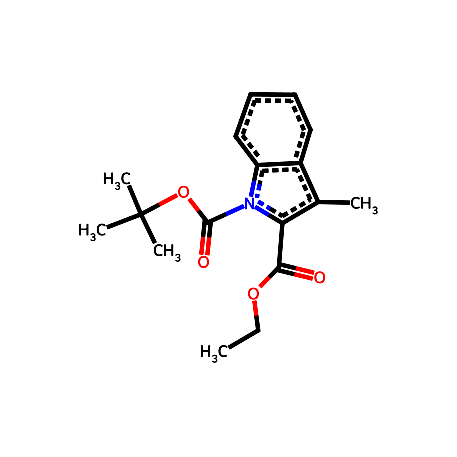 CCOC(=O)c1c(C)c2ccccc2n1C(=O)OC(C)(C)C